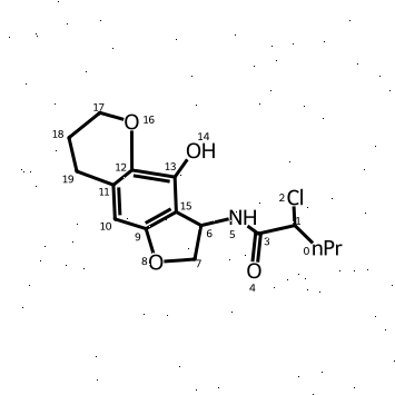 CCCC(Cl)C(=O)NC1COc2cc3c(c(O)c21)OCCC3